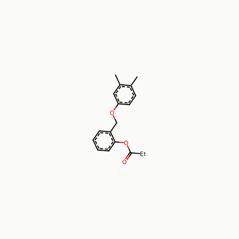 CCC(=O)Oc1ccccc1COc1ccc(C)c(C)c1